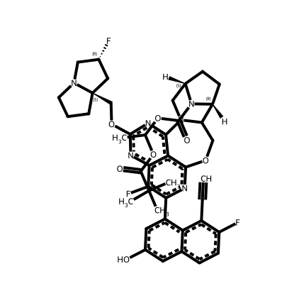 C#Cc1c(F)ccc2cc(O)cc(-c3nc4c5c(nc(OC[C@@]67CCCN6C[C@H](F)C7)nc5c3F)N3C[C@@H]5CC[C@H](C3CO4)N5C(=O)OC(C)OC(=O)C(C)(C)C)c12